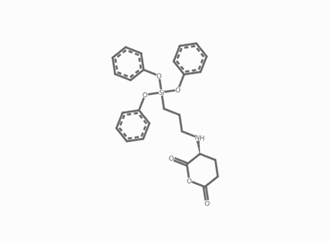 O=C1CC[C@H](NCCC[Si](Oc2ccccc2)(Oc2ccccc2)Oc2ccccc2)C(=O)O1